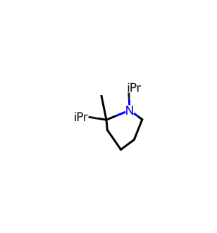 CC(C)N1CCCCC1(C)C(C)C